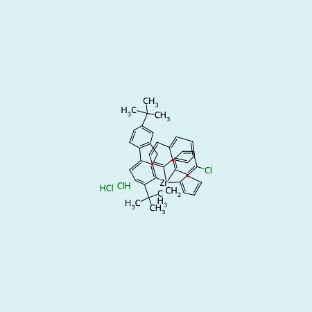 Cl.Cl.[CH2]=[Zr]([C]1=CC=CC1)([c]1cccc(Cl)c1)([c]1c(C(C)(C)C)ccc2c1Cc1cc(C(C)(C)C)ccc1-2)[c]1cccc2ccccc12